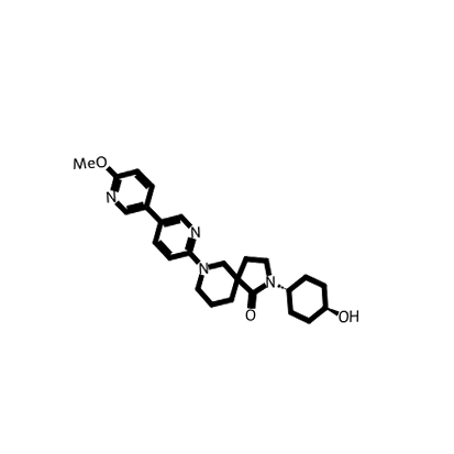 COc1ccc(-c2ccc(N3CCCC4(CCN([C@H]5CC[C@H](O)CC5)C4=O)C3)nc2)cn1